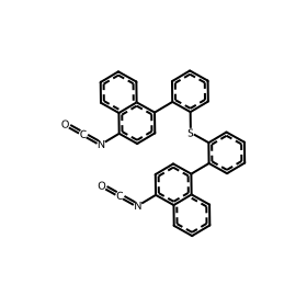 O=C=Nc1ccc(-c2ccccc2Sc2ccccc2-c2ccc(N=C=O)c3ccccc23)c2ccccc12